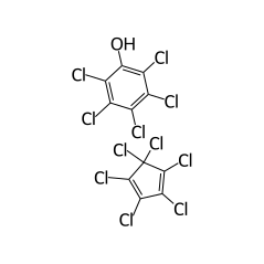 ClC1=C(Cl)C(Cl)(Cl)C(Cl)=C1Cl.Oc1c(Cl)c(Cl)c(Cl)c(Cl)c1Cl